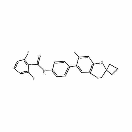 Cc1cc2c(cc1-c1ccc(NC(=O)c3c(F)cccc3F)cc1)CCC1(CCC1)O2